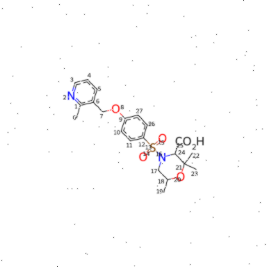 Cc1ncccc1COc1ccc(S(=O)(=O)N2CC(C)OC(C)(C)C2C(=O)O)cc1